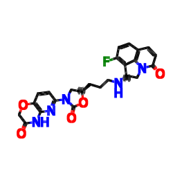 O=C1COc2ccc(N3C[C@@H](CCCN[C@H]4Cn5c(=O)ccc6ccc(F)c4c65)OC3=O)nc2N1